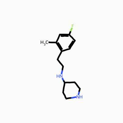 Cc1cc(F)ccc1CCNC1CCNCC1